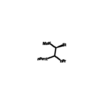 CCCCCC(CCC)[C@H](CC)NC